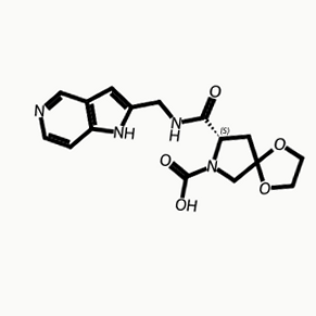 O=C(NCc1cc2cnccc2[nH]1)[C@@H]1CC2(CN1C(=O)O)OCCO2